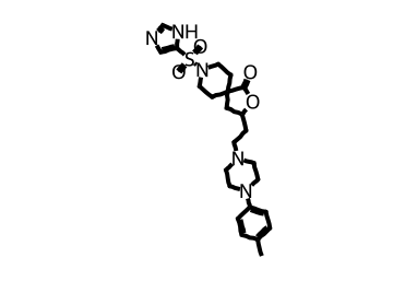 Cc1ccc(N2CCN(CCC3CC4(CCN(S(=O)(=O)c5cnc[nH]5)CC4)C(=O)O3)CC2)cc1